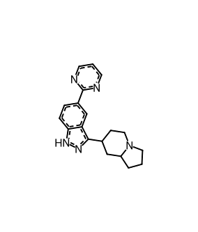 c1cnc(-c2ccc3[nH]nc(C4CCN5CCCC5C4)c3c2)nc1